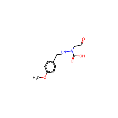 COc1ccc(CCNN(CC=O)C(=O)O)cc1